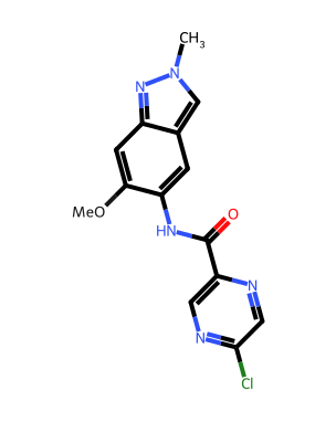 COc1cc2nn(C)cc2cc1NC(=O)c1cnc(Cl)cn1